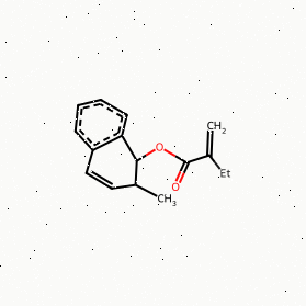 C=C(CC)C(=O)OC1c2ccccc2C=CC1C